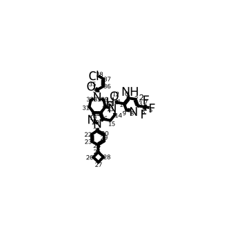 Nc1cc(C(F)(F)F)ncc1C(=O)N1CCc2c3c(nn2-c2ccc(C4CCC4)cc2)CCN(C(=O)/C=C\Cl)C[C@@H]31